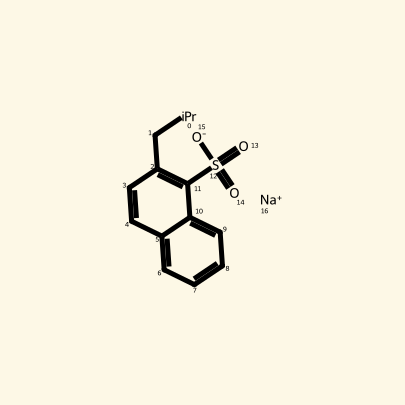 CC(C)Cc1ccc2ccccc2c1S(=O)(=O)[O-].[Na+]